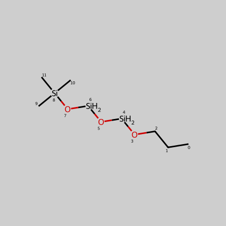 CCCO[SiH2]O[SiH2]O[Si](C)(C)C